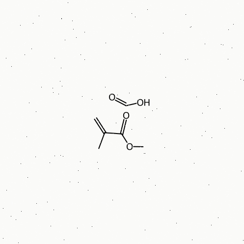 C=C(C)C(=O)OC.O=CO